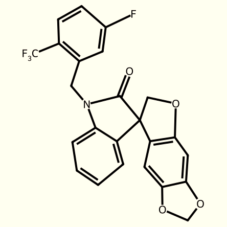 O=C1N(Cc2cc(F)ccc2C(F)(F)F)c2ccccc2C12COc1cc3c(cc12)OCO3